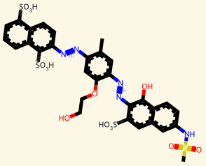 Cc1cc(/N=N/c2c(S(=O)(=O)O)cc3cc(NS(C)(=O)=O)ccc3c2O)c(OCCO)cc1/N=N/c1ccc2c(S(=O)(=O)O)cccc2c1S(=O)(=O)O